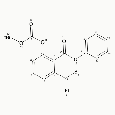 CCC(Br)c1cccc(OC(=O)OC(C)(C)C)c1C(=O)Oc1ccccc1